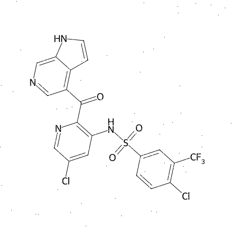 O=C(c1ncc(Cl)cc1NS(=O)(=O)c1ccc(Cl)c(C(F)(F)F)c1)c1cncc2[nH]ccc12